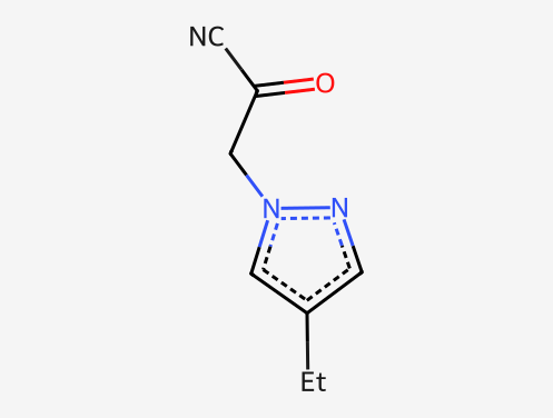 CCc1cnn(CC(=O)C#N)c1